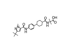 Cn1nc(C(C)(C)C)cc1C(=O)Nc1ccc(C2CCC(C(=O)NC(C)(C)C(=O)O)CC2)cc1